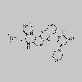 Cc1cnc(C(CCN(C)C)Nc2ccc3c(c2)Sc2cccc(-c4cc(N5CCOCC5)cc(=O)[nH]4)c2O3)cn1